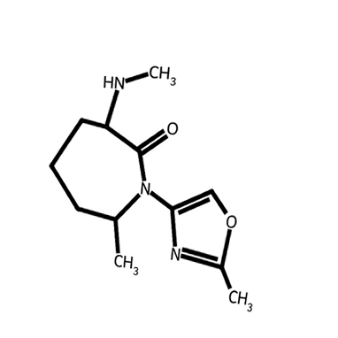 CNC1CCCC(C)N(c2coc(C)n2)C1=O